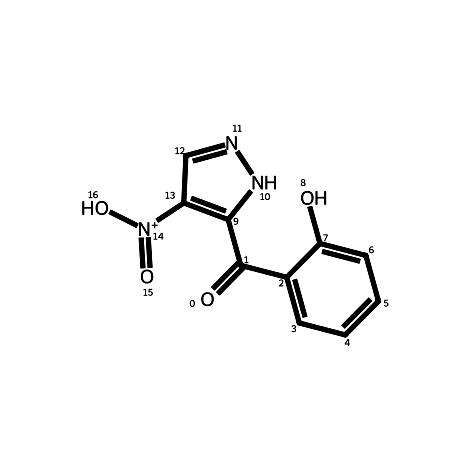 O=C(c1ccccc1O)c1[nH]ncc1[N+](=O)O